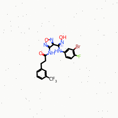 O=C(CCc1cccc(C(F)(F)F)c1)Nc1nonc1/C(=N\O)Nc1ccc(F)c(Br)c1